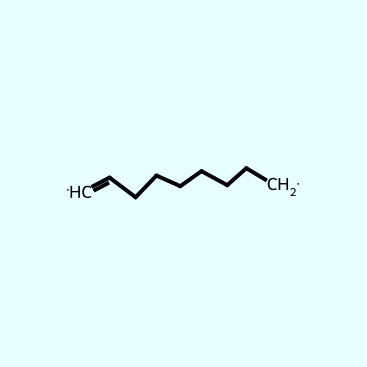 [CH]=CCCCCCC[CH2]